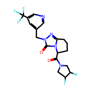 O=C(C1CCCc2nn(Cc3cncc(C(F)(F)F)c3)c(=O)n21)N1CC(F)C(F)C1